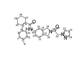 Cc1ccc(C2=C(C(=O)Nc3ccc4c(c3)CN(C(=O)Cn3cccn3)C4)CCCC2)cc1